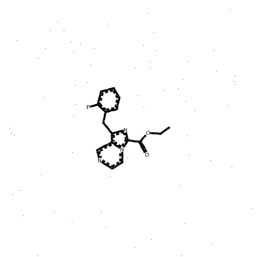 CCOC(=O)c1nc(Cc2ccccc2F)c2cnccn12